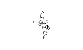 O=C(NC1CCN(CC2CC2)CC1C(=O)O)c1noc(-c2ccc(F)cc2)c1F